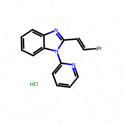 CC(C)C=Cc1nc2ccccc2n1-c1ccccn1.Cl